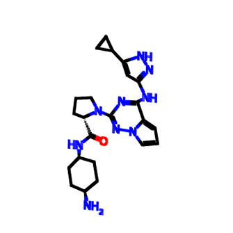 N[C@H]1CC[C@@H](NC(=O)[C@@H]2CCCN2c2nc(Nc3cc(C4CC4)[nH]n3)c3cccn3n2)CC1